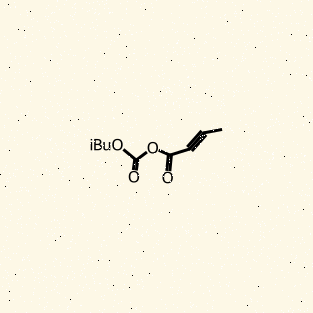 CC#CC(=O)OC(=O)OCC(C)C